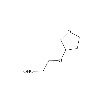 O=CCCOC1CCOC1